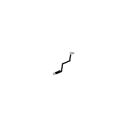 O=CC[CH]O